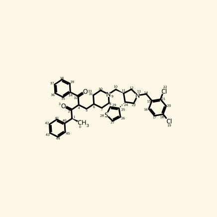 C[C@H](C(=O)C(CC1CCN(C[C@H]2CN(Cc3ccc(Cl)cc3Cl)C[C@@H]2c2ccsc2)CC1)C(=O)c1ccccc1)c1ccccc1